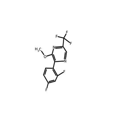 COc1nc(C(F)(F)F)cnc1-c1ccc(F)cc1F